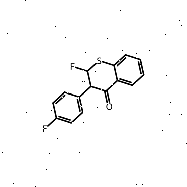 O=C1c2ccccc2SC(F)C1c1ccc(F)cc1